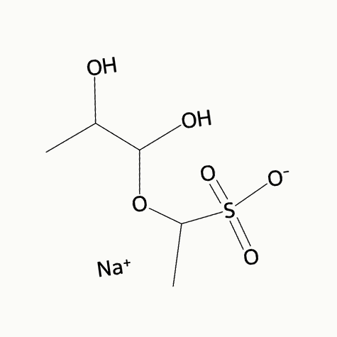 CC(O)C(O)OC(C)S(=O)(=O)[O-].[Na+]